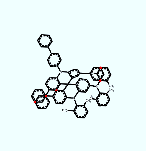 Cc1cccc(C)c1B1c2cc(B(c3c(C)cccc3C)c3c(C)cccc3C)ccc2C2(c3cc(-c4ccccc4)ccc31)c1cc(-c3ccccc3)ccc1N(c1ccc(-c3ccccc3)cc1)c1ccc(-c3ccccc3)cc12